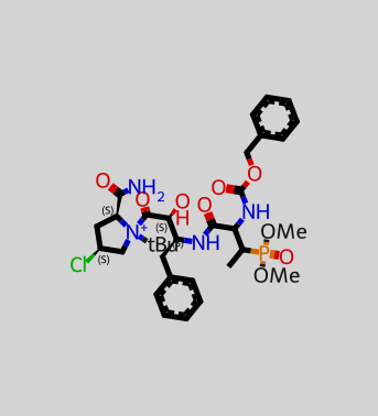 COP(=O)(OC)C(C)C(NC(=O)OCc1ccccc1)C(=O)N[C@@H](Cc1ccccc1)[C@H](O)C(=O)[N+]1(C(C)(C)C)C[C@@H](Cl)C[C@H]1C(N)=O